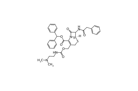 CN(C)CCNC(=O)OCC1=C(C(=O)OC(c2ccccc2)c2ccccc2)N2C(=O)C(NC(=O)Cc3ccccc3)[C@H]2SC1